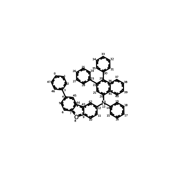 c1ccc(-c2ccc3oc4ccc(N(c5ccccc5)c5cc(-c6ccccc6)c(-c6ccccc6)c6ccccc56)cc4c3c2)cc1